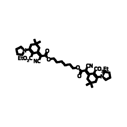 CCOC(=O)C1=C(N2CCCC2)CC(C)(C)C/C1=C(/C#N)C(=O)OCCCCCCOC(=O)/C(C#N)=C1\CC(C)(C)CC(N2CCCC2)=C1C(=O)OCC